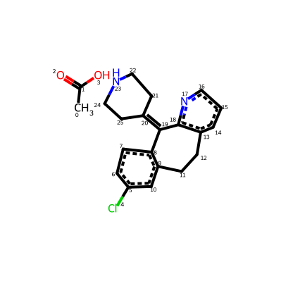 CC(=O)O.Clc1ccc2c(c1)CCc1cccnc1C2=C1CCNCC1